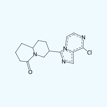 O=C1CCCC2CCC(c3ncc4c(Cl)nccn34)CN12